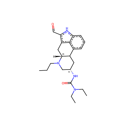 CCCN1C[C@@H](NC(=O)N(CC)CC)CC2c3cccc4[nH]c(C=O)c(c34)C[C@H]21